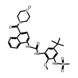 COc1c(NC(=O)Nc2ccc(C(=O)N3CC[S+]([O-])CC3)c3ccccc23)cc(C(C)(C)C)cc1NS(C)(=O)=O